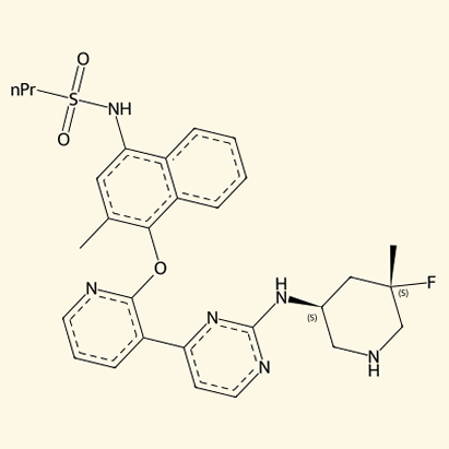 CCCS(=O)(=O)Nc1cc(C)c(Oc2ncccc2-c2ccnc(N[C@@H]3CNC[C@@](C)(F)C3)n2)c2ccccc12